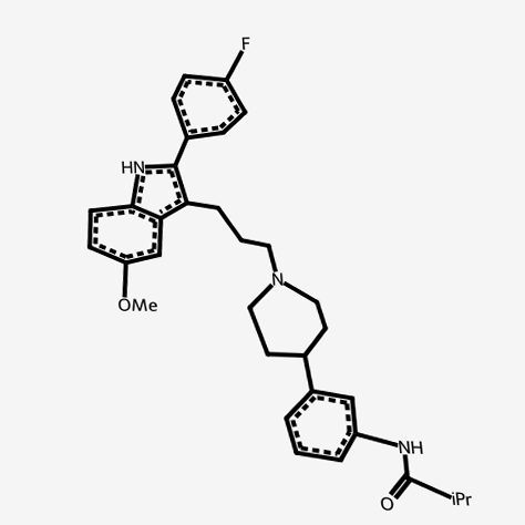 COc1ccc2[nH]c(-c3ccc(F)cc3)c(CCCN3CCC(c4cccc(NC(=O)C(C)C)c4)CC3)c2c1